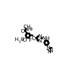 CNC(=O)c1cc(COc2cnc(Nc3ccc(-n4cnnc4)cc3)nc2)c(F)c(OC)c1